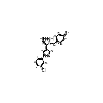 Clc1cccc(-n2cc(C3=NNNN3Cc3ccc(Br)cc3)cn2)c1